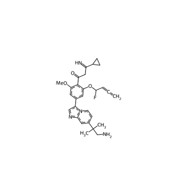 C=C=CC(F)Oc1cc(-c2cnc3cc(C(C)(C)CN)ccn23)cc(OC)c1C(=O)CC(=N)C1CC1